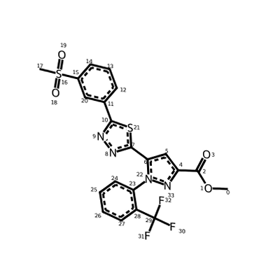 COC(=O)c1cc(-c2nnc(-c3cccc(S(C)(=O)=O)c3)s2)n(-c2ccccc2C(F)(F)F)n1